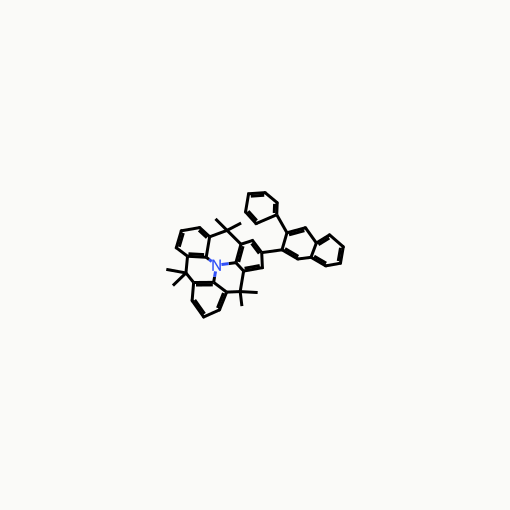 CC1(C)c2cccc3c2N2c4c1cccc4C(C)(C)c1cc(-c4cc5ccccc5cc4-c4ccccc4)cc(c12)C3(C)C